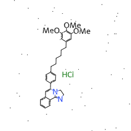 COc1cc(CCCCCCc2ccc(C3=Cc4ccccc4C4=NCCN34)cc2)cc(OC)c1OC.Cl